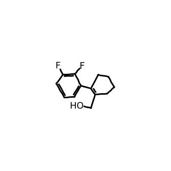 OCC1=C(c2cccc(F)c2F)CCCC1